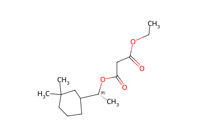 CCOC(=O)CC(=O)O[C@H](C)C1CCCC(C)(C)C1